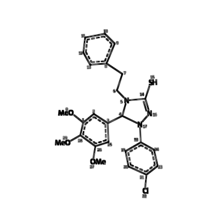 COc1cc(C2N(CCc3ccccc3)C(S)=NN2c2ccc(Cl)cc2)cc(OC)c1OC